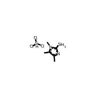 Cc1nc([SiH3])n(C)c1C.Cl[SiH](Cl)Cl